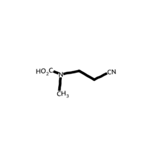 CN(CCC#N)C(=O)O